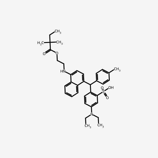 CCN(CC)c1ccc(C(c2ccc(C)cc2)c2ccc(NCCOC(=O)C(C)(C)CC)c3ccccc23)c(S(=O)(=O)O)c1